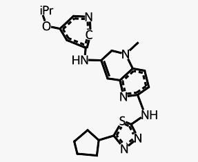 CC(C)Oc1cncc(NC2=Cc3nc(Nc4nnc(C5CCCC5)s4)ccc3N(C)C2)c1